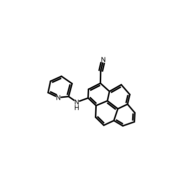 N#Cc1cc(Nc2ccccn2)c2ccc3cccc4ccc1c2c43